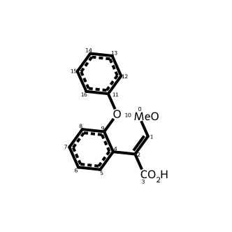 CO/C=C(/C(=O)O)c1ccccc1Oc1ccccc1